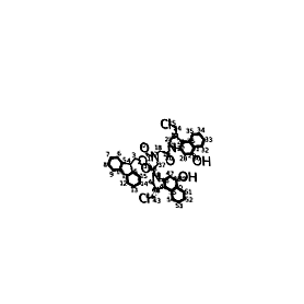 O=C(OCC1c2ccccc2-c2ccccc21)N(CC(=O)N1C[C@@H](CCl)c2c1cc(O)c1ccccc21)CC(=O)N1C[C@@H](CCl)c2c1cc(O)c1ccccc21